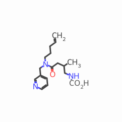 C=CCCCN(Cc1cccnc1)C(=O)CC(C)CNC(=O)O